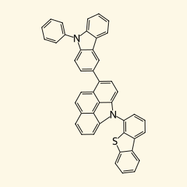 c1ccc(-n2c3ccccc3c3cc(-c4ccc5c6c4ccc4cccc(c46)n5-c4cccc5c4sc4ccccc45)ccc32)cc1